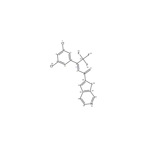 C=C(/C=C(/c1cc(Cl)cc(Cl)c1)C(F)(F)F)c1cc2ccncc2s1